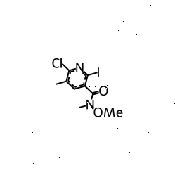 CON(C)C(=O)c1cc(C)c(Cl)nc1I